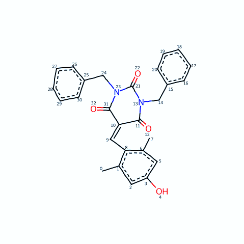 Cc1cc(O)cc(C)c1C=C1C(=O)N(Cc2ccccc2)C(=O)N(Cc2ccccc2)C1=O